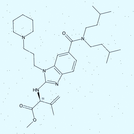 C=C(C)[C@H](Nc1nc2ccc(C(=O)N(CCC(C)C)CCC(C)C)cc2n1CCCN1CCCCC1)C(=O)OC